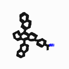 CC(=N)c1ccc(-c2ccc3c(-c4ccc5ccccc5c4)c4ccccc4c(-c4ccc5ccccc5c4)c3c2)cc1